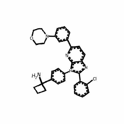 NC1(c2ccc(-n3c(-c4ccccc4Cl)nc4ccc(-c5cccc(N6CCOCC6)c5)nc43)cc2)CCC1